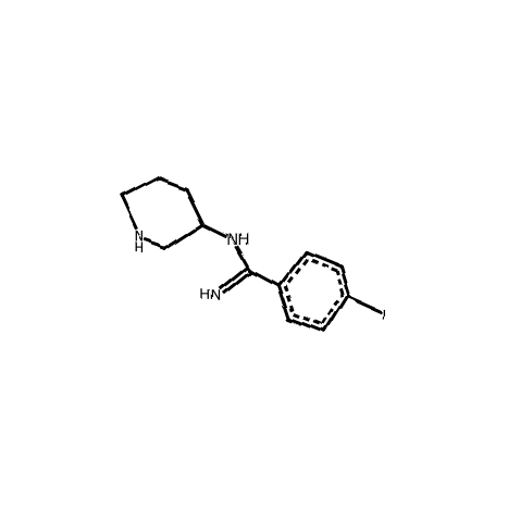 N=C(NC1CCCNC1)c1ccc(I)cc1